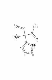 NC(C=O)(C(=O)O)c1ccn[nH]1